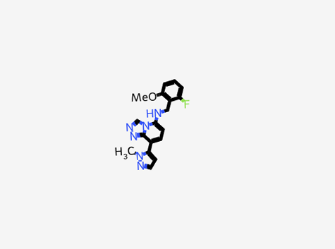 COc1cccc(F)c1CNc1ccc(-c2ccnn2C)c2nncn12